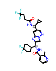 Cc1ncccc1C(=O)N[C@H](c1cn2ncc([C@H](NC(=O)CCC(F)(F)F)C3CC3)cc2n1)C1CCC(F)(F)CC1